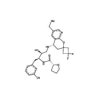 CC(C)(C)Cc1cnc2c(c1)[C@@H](NC[C@H](O)[C@H](Cc1cccc(C#N)c1)NC(=O)[C@H]1CCCO1)CC1(CC(F)(F)C1)O2